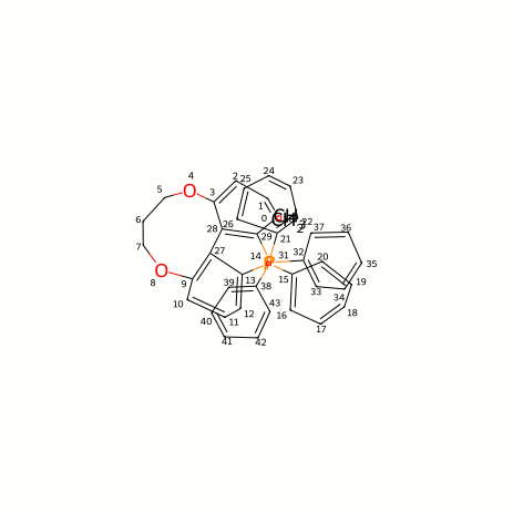 C=C/C=C1/OCCCOc2cccc(P(c3ccccc3)c3ccccc3)c2/C1=C(/C)P(c1ccccc1)c1ccccc1